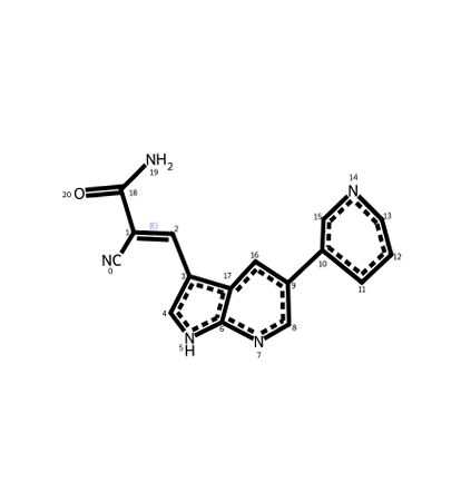 N#C/C(=C\c1c[nH]c2ncc(-c3cccnc3)cc12)C(N)=O